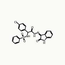 O=C1Nc2ccccc2C1=NNC(=O)C(NS(=O)(=O)c1ccccc1)c1ccc(Cl)cc1